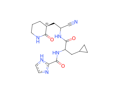 N#CC(C[C@@H]1CCCNC1=O)NC(=O)C(CC1CC1)NC(=O)c1ncc[nH]1